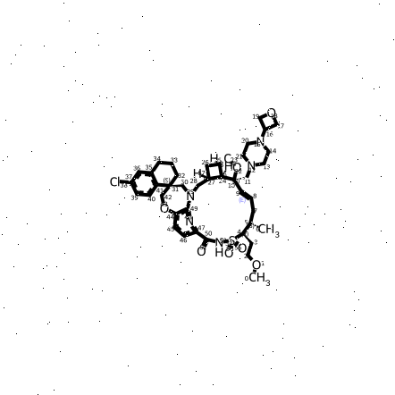 COCC[C@@H]1[C@@H](C)C/C=C/[C@](CN2CCN(C3COC3)CC2)(OC)[C@@H]2CC[C@H]2CN2C[C@@]3(CCCc4cc(Cl)ccc43)COc3ccc(nc32)C(=O)NS1(=O)=O